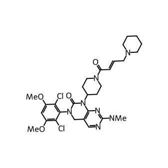 CNc1ncc2c(n1)N(C1CCN(C(=O)C=CCN3CCCCC3)CC1)C(=O)N(c1c(Cl)c(OC)cc(OC)c1Cl)C2